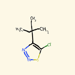 CC(C)(C)c1nnsc1Cl